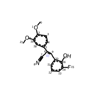 COc1ccc(/C(C#N)=C/c2cccc(F)c2O)cc1OC